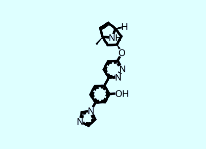 C[C@]12C=C[C@H](C[C@@H](Oc3ccc(-c4ccc(-n5ccnc5)cc4O)nn3)C1)N2